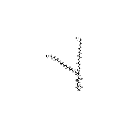 CCCCCCCCC=CCCCCCCCCOCC(COC(=O)NCCN1CCOCC1)OCCCCCCCCC=CCCCCCCCC